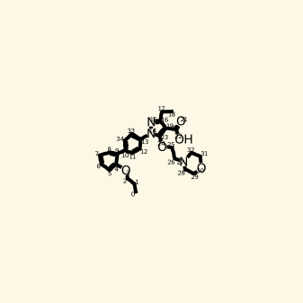 CCCOc1ccccc1-c1ccc(-n2nc(CC)c(C(=O)O)c2OCCN2CCOCC2)cc1